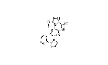 CC[C@H]1Nc2nc(-n3ccnc3-c3ccccc3)nc(C(C)C3CC3)c2-n2cnnc21